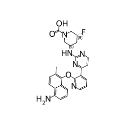 Cc1ccc2c(N)cccc2c1Oc1ncccc1-c1ccnc(N[C@H]2C[C@@H](F)CN(C(=O)O)C2)n1